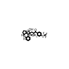 CNC(CC(=O)C(=O)c1ccc(OC(F)(F)F)cc1)(C(=O)O)C1c2ccccc2N[C@@H]2CCC[C@H]12